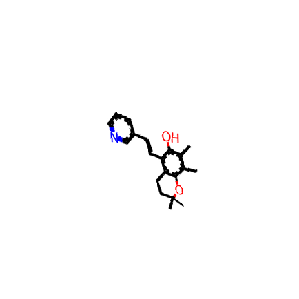 Cc1c(C)c2c(c(C=Cc3cccnc3)c1O)CCC(C)(C)O2